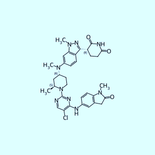 C[C@H]1C[C@H](N(C)c2ccc3c([C@H]4CCC(=O)NC4=O)nn(C)c3c2)CCN1c1ncc(Cl)c(Nc2ccc3c(c2)CC(=O)N3C)n1